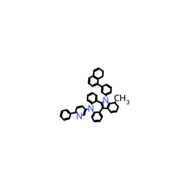 CC1CC=Cc2c3c(n(-c4cccc(-c5cccc6c5CCC=C6)c4)c21)-c1ccccc1N(c1ccc(-c2ccccc2)nc1)c1ccccc1-3